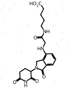 O=C(O)CCCCNC(=O)CNc1cccc2c1CN(C1CCC(=O)NC1=O)C2=O